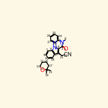 CN(C(=O)c1[nH]c2ccc([C@H]3CCOC(C)(C)C3)cc2c1CC#N)c1ccccc1